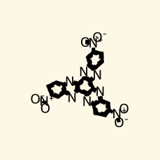 O=[N+]([O-])c1ccc2nc3c4nc5cc([N+](=O)[O-])ccc5nc4c4nc5cc([N+](=O)[O-])ccc5nc4c3nc2c1